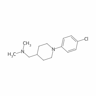 CN(C)CC1CCN(c2ccc(Cl)cc2)CC1